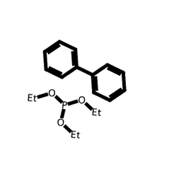 CCOP(OCC)OCC.c1ccc(-c2ccccc2)cc1